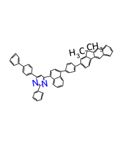 CC1(C)c2cc(-c3ccc(-c4ccc(-c5cc(-c6ccc(-c7ccccc7)cc6)nc(-c6ccccc6)n5)c5ccccc45)cc3)ccc2-c2cc3ccccc3cc21